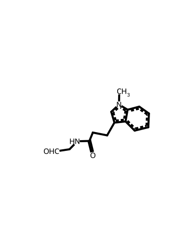 Cn1cc(CCC(=O)NCC=O)c2ccccc21